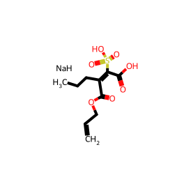 C=CCOC(=O)/C(CCC)=C(\C(=O)O)S(=O)(=O)O.[NaH]